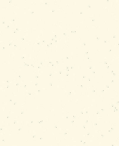 [N-]=[N+]=NC(O)C(C(=O)OCc1ccccc1)S(=O)(=O)C(F)(F)F